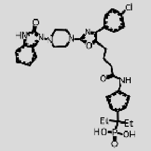 CCC(CC)(c1ccc(NC(=O)CCCc2oc(N3CCN(n4c(=O)[nH]c5ccccc54)CC3)nc2-c2ccc(Cl)cc2)cc1)P(=O)(O)O